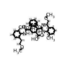 COCCc1cccc(C)c1NC(=N)c1c(C(=O)O)cc(C(=O)Nc2c(C)cccc2CCOC)c2c3ccc(c(=O)[nH]c3=O)c12